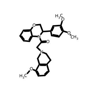 COc1ccc(C2COc3ccccc3N2C(=O)CN2CCc3cccc(OC)c3C2)cc1OC